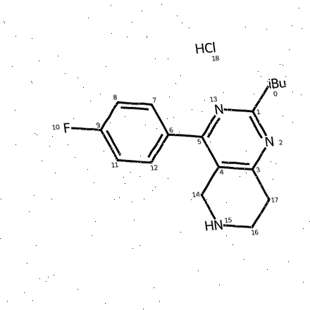 CCC(C)c1nc2c(c(-c3ccc(F)cc3)n1)CNCC2.Cl